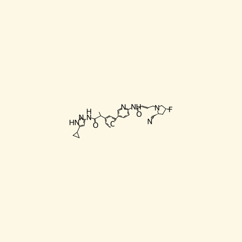 CC(C(=O)Nc1cc(C2CC2)[nH]n1)c1cccc(-c2ccc(NC(=O)/C=C/CN3C[C@@H](F)C[C@H]3C#N)nc2)c1